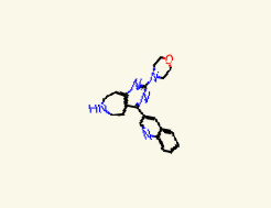 c1ccc2ncc(-c3nc(N4CCOCC4)nc4c3CCNCC4)cc2c1